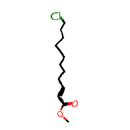 COC(=O)C=CCCCCCCCCCl